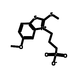 COc1ccc2sc(SC)[n+](CCCS(=O)(=O)[O-])c2c1